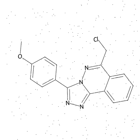 COc1ccc(-c2nnc3c4ccccc4c(CCl)nn23)cc1